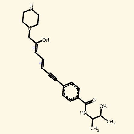 CC(O)C(C)NC(=O)c1ccc(C#C/C=C/C=C(\O)CN2CCNCC2)cc1